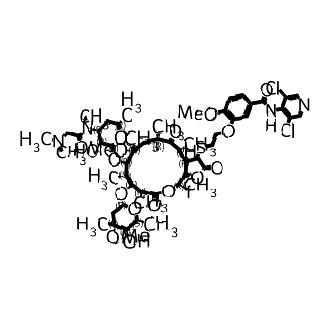 COc1ccc(C(=O)Nc2c(Cl)cncc2Cl)cc1OCCSC1C(=O)O[C@@]2(C)[C@H]1[C@@H](C)C(=O)[C@H](C)C[C@@](C)(OC)[C@H](O[C@@H]1O[C@H](C)C[C@H](N(C)C(=O)CN(C)C)[C@H]1O)[C@@H](C)[C@H](O[C@H]1C[C@@](C)(OC)[C@@H](O)[C@H](C)O1)[C@@H](C)C(=O)O[C@@H]2I